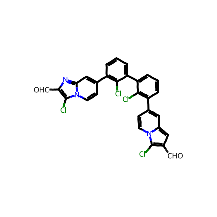 O=Cc1cc2cc(-c3cccc(-c4cccc(-c5ccn6c(Cl)c(C=O)nc6c5)c4Cl)c3Cl)ccn2c1Cl